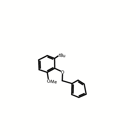 COc1cccc(C(C)(C)C)c1OCc1ccccc1